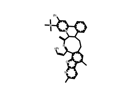 C=C1/N=C(/C=C\CCC)c2c(cc(C)c3c2oc2nc(C)ccc23)CCC2c3ccccc3-c3cc(C(C)C)c([Si](C)(C)C)c[n+]3C12